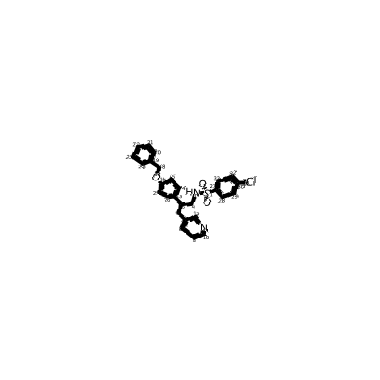 O=S(=O)(NCC(Cc1cccnc1)c1ccc(OCc2ccccc2)cc1)c1ccc(Cl)cc1